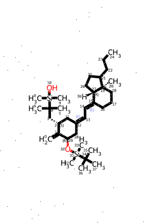 C=C1[C@H](CC(C)(C)[Si](C)(C)O)C/C(=C\C=C2/CCC[C@]3(C)C(CCC)CC[C@@H]23)C[C@H]1O[Si](C)(C)C(C)(C)C